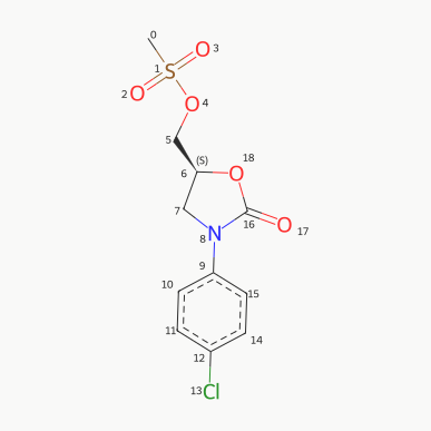 CS(=O)(=O)OC[C@@H]1CN(c2ccc(Cl)cc2)C(=O)O1